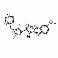 COc1ccc2nc(NC(=O)c3cc(C)n(Cc4ccncn4)c3C)[nH]c2c1